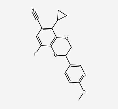 COc1ccc(C2COc3c(c(F)cc(C#N)c3C3CC3)O2)cn1